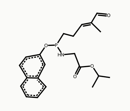 C/C(C=O)=C\CCP(NCC(=O)OC(C)C)Oc1ccc2ccccc2c1